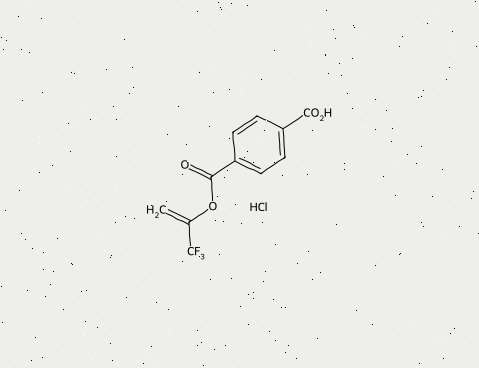 C=C(OC(=O)c1ccc(C(=O)O)cc1)C(F)(F)F.Cl